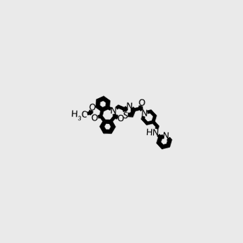 CC(=O)OC1c2ccccc2C(=O)N(Cc2nc(C(=O)N3CCC(CNc4ccccn4)CC3)cs2)c2ccccc21